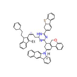 CCC1=C(/C=C\CC2N=C(C3CC(N4c5cc6ccccc6cc5C5C=CC=C[C@@H]54)=CC4=C3COc3ccccc34)N=C(C3=CC=C4c5ccccc5SC4C3)N2)C(CCC2C=CC=CC2)c2ccccc21